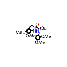 COc1ccc(CN[C@H](C(=O)N2CCc3cc(OC)c(OC)cc3C2)C(C)(C)C)c(OC)c1